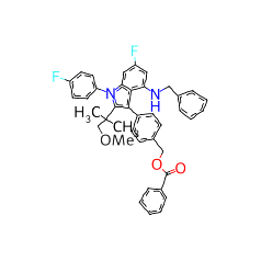 COCC(C)(C)c1c(-c2ccc(COC(=O)c3ccccc3)cc2)c2c(NCc3ccccc3)cc(F)cc2n1-c1ccc(F)cc1